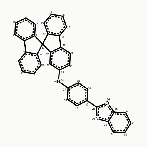 c1ccc2c(c1)-c1ccccc1C21c2ccccc2-c2ccc(Nc3ccc(-c4nc5ccccc5o4)cc3)cc21